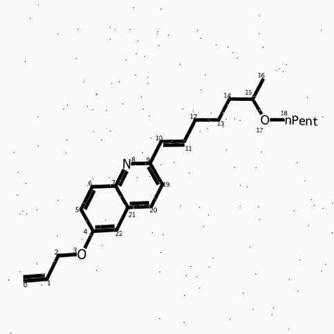 C=CCOc1ccc2nc(C=CCCCC(C)OCCCCC)ccc2c1